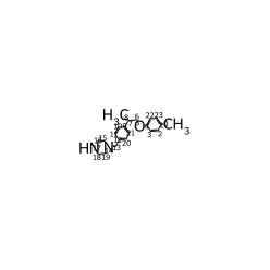 Cc1ccc(OCC(C)c2ccc(CN3CCNCC3)cc2)cc1